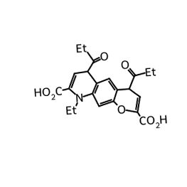 CCC(=O)C1C=C(C(=O)O)Oc2cc3c(cc21)C(C(=O)CC)C=C(C(=O)O)N3CC